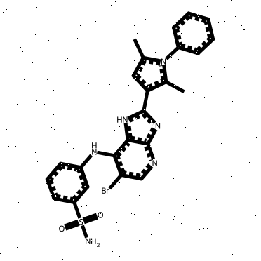 Cc1cc(-c2nc3ncc(Br)c(Nc4cccc(S(N)(=O)=O)c4)c3[nH]2)c(C)n1-c1ccccc1